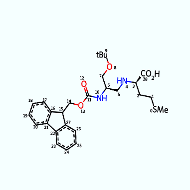 CSCC[C@@H](NC[C@H](COC(C)(C)C)NC(=O)OCC1c2ccccc2-c2ccccc21)C(=O)O